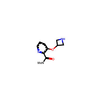 CNC(=O)c1ncccc1OC1CNC1